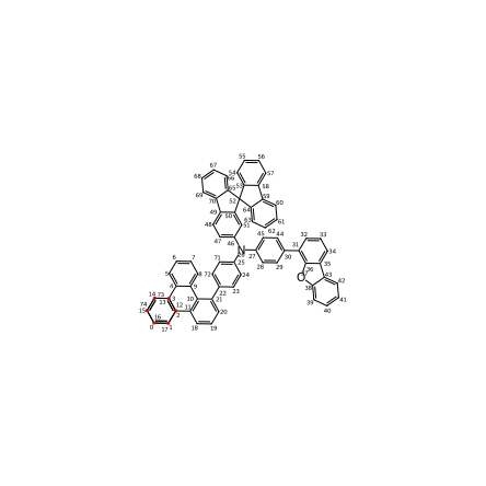 c1ccc(-c2ccccc2-c2c(-c3ccccc3)cccc2-c2ccc(N(c3ccc(-c4cccc5c4oc4ccccc45)cc3)c3ccc4c(c3)C3(c5ccccc5-c5ccccc53)c3ccccc3-4)cc2)cc1